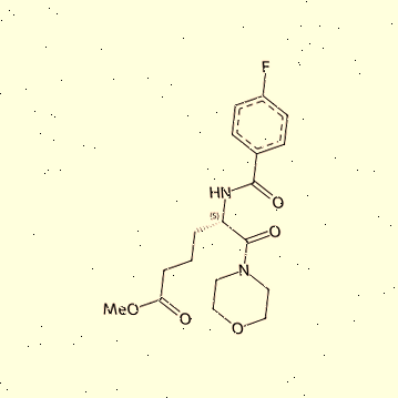 COC(=O)CCC[C@H](NC(=O)c1ccc(F)cc1)C(=O)N1CCOCC1